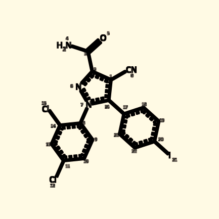 N#Cc1c(C(N)=O)nn(-c2ccc(Cl)cc2Cl)c1-c1ccc(I)cc1